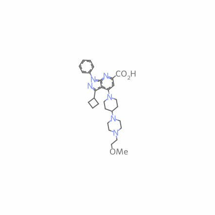 COCCN1CCN(C2CCN(c3cc(C(=O)O)nc4c3c(C3CCC3)nn4-c3ccccc3)CC2)CC1